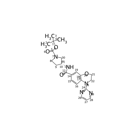 CC(C)(C)OC(=O)N1CC[C@@H](NC(=O)c2ccc3c(c2)OCCN3c2ncccn2)C1